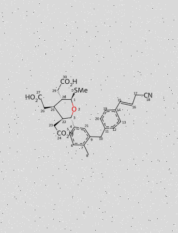 CS[C@H]1O[C@H](c2ccc(C)c(Cc3ccc(C=CCC#N)cc3)c2)[C@@H](CC(=O)O)[C@@H](CC(=O)O)[C@@H]1CC(=O)O